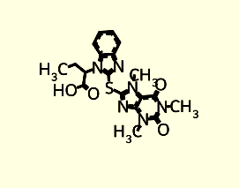 CCC(C(=O)O)n1c(Sc2nc3c(c(=O)n(C)c(=O)n3C)n2C)nc2ccccc21